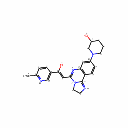 CC(=O)Nc1ccc(/C(O)=C/C2=Nc3cc(N4CCCC(O)C4)ccc3C3=NCCN23)cn1